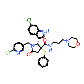 O=C1C[C@@](Sc2ccccc2)(C(=O)NCCCN2CCOCC2)[C@@H](c2c[nH]c3cc(Cl)ccc23)N1Cc1ccc(Cl)nc1